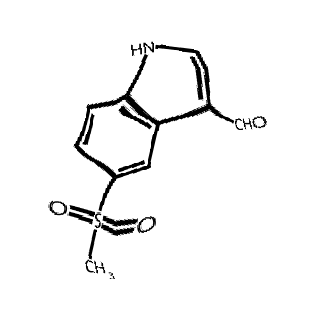 CS(=O)(=O)c1ccc2[nH]cc(C=O)c2c1